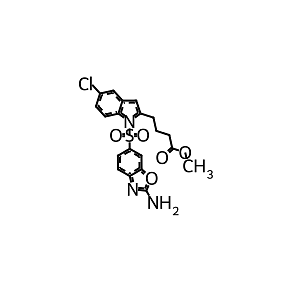 COC(=O)CCCc1cc2cc(Cl)ccc2n1S(=O)(=O)c1ccc2nc(N)oc2c1